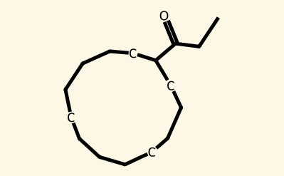 CCC(=O)C1CCCCCCCCCCCC1